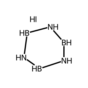 B1NBNBN1.I